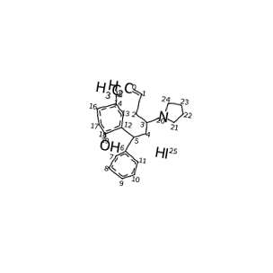 C=CCC(CC(c1ccccc1)c1cc(C)ccc1O)N1CCCC1.I